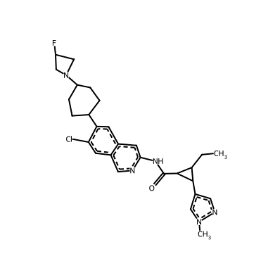 CCC1C(C(=O)Nc2cc3cc(C4CCC(N5CC(F)C5)CC4)c(Cl)cc3cn2)C1c1cnn(C)c1